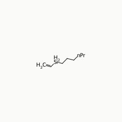 C=C[SiH2]CCCCCC